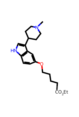 CCOC(=O)CCCCOc1ccc2[nH]cc(C3CCN(C)CC3)c2c1